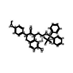 COc1ccc(N2Cc3cnc(Cl)nc3N(C[C@@H](C)O[Si](c3ccccc3)(c3ccccc3)C(C)(C)C)C2=O)cc1